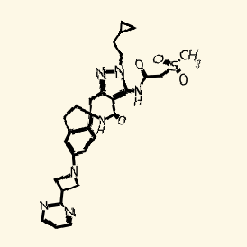 CS(=O)(=O)CC(=O)Nc1c2c(nn1CCC1CC1)C[C@@]1(CCc3cc(N4CC(c5ncccn5)C4)ccc31)NC2=O